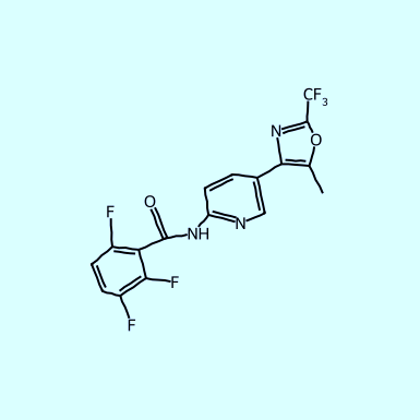 Cc1oc(C(F)(F)F)nc1-c1ccc(NC(=O)c2c(F)ccc(F)c2F)nc1